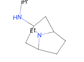 CCN1C2CCC1CC(NC(C)C)C2